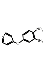 Nc1cc(Oc2ccncc2)ccc1[N+](=O)[O-]